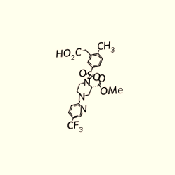 COC(=O)[C@@H]1CN(c2ccc(C(F)(F)F)cn2)CCN1S(=O)(=O)c1ccc(C)c(CC(=O)O)c1